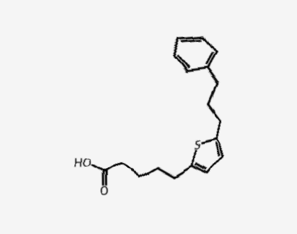 O=C(O)CCCCc1ccc(CCCc2ccccc2)s1